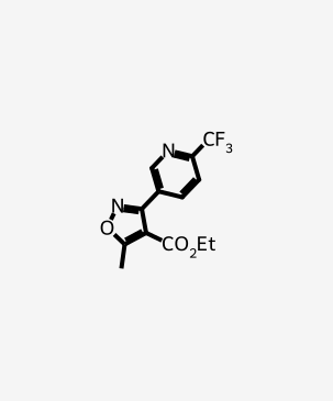 CCOC(=O)c1c(-c2ccc(C(F)(F)F)nc2)noc1C